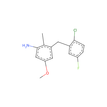 COc1cc(N)c(C)c(Cc2cc(F)ccc2Cl)c1